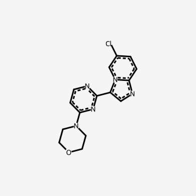 Clc1ccc2ncc(-c3nccc(N4CCOCC4)n3)n2c1